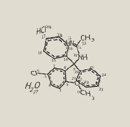 COc1ccc(Cl)cc1C(NC(C)=N)(c1ccccc1)c1ccccc1.Cl.O